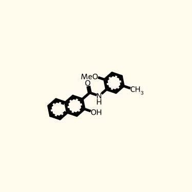 COc1ccc(C)cc1NC(=O)c1cc2ccccc2cc1O